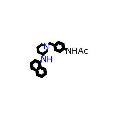 CC(=O)Nc1ccc(CN2CCCC(Nc3cccc4ccccc34)C2)cc1